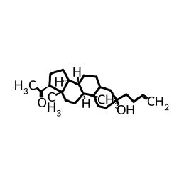 C=CCCC1(O)CC[C@@]2(C)C(CC[C@H]3[C@@H]4CC[C@H](C(C)=O)[C@@]4(C)CC[C@@H]32)C1